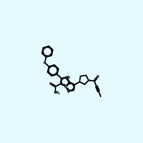 CC#CC(=O)N1CCC(c2cnn3c(C(N)=O)c(-c4ccc(Oc5ccccc5)cc4)[nH]c23)C1